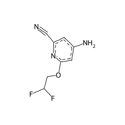 N#Cc1cc(N)cc(OCC(F)F)n1